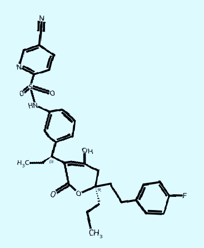 CCC[C@@]1(CCc2ccc(F)cc2)CC(O)=C([C@@H](CC)c2cccc(NS(=O)(=O)c3ccc(C#N)cn3)c2)C(=O)O1